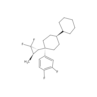 C[C@@H]1[C@@H]([C@]2(c3ccc(F)c(F)c3)CC[C@H](C3CCCCC3)CC2)C1(F)F